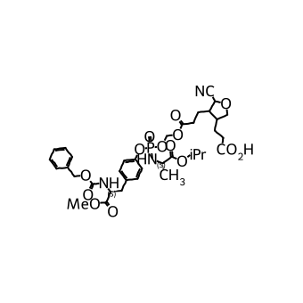 COC(=O)[C@H](Cc1ccc(OP(=O)(N[C@@H](C)C(=O)OC(C)C)OCOC(=O)CCC2C(CCC(=O)O)COC2C#N)cc1)NC(=O)OCc1ccccc1